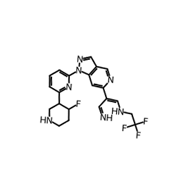 N=C/C(=C\NCC(F)(F)F)c1cc2c(cn1)cnn2-c1cccc(C2CNCCC2F)n1